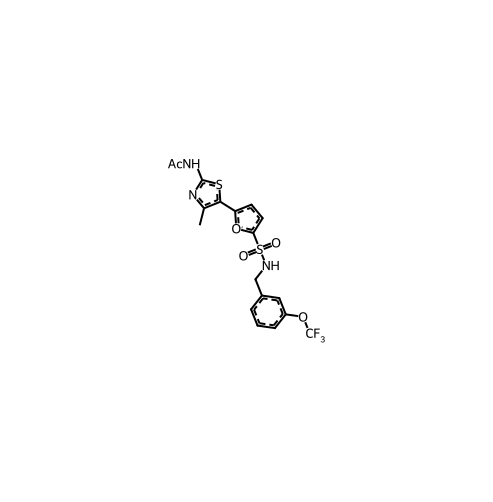 CC(=O)Nc1nc(C)c(-c2ccc(S(=O)(=O)NCc3cccc(OC(F)(F)F)c3)o2)s1